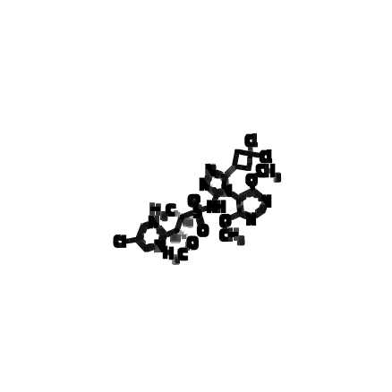 COc1ncnc(OC)c1-n1c(NS(=O)(=O)[C@@H](C)[C@H](OC)c2ncc(Cl)cn2)nnc1C1CC(Cl)(Cl)C1